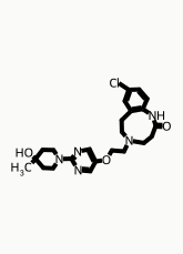 CC1(O)CCN(c2ncc(OCCN3CCC(=O)Nc4ccc(Cl)cc4CC3)cn2)CC1